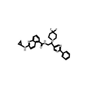 O=C(NCC(c1cnc(-c2ccccc2)nc1)N1CCC(F)(F)CC1)c1cccc2nc(NC3CC3)ccc12